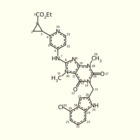 CCOC(=O)C1CC1c1cc(Nc2nc3c(c(=O)n(Cc4cc5c(Cl)cccc5[nH]4)c(=O)n3C)n2C)ccn1